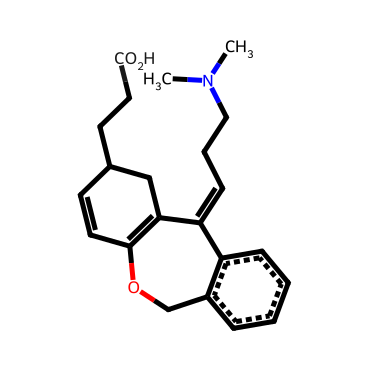 CN(C)CC/C=C1\C2=C(C=CC(CCC(=O)O)C2)OCc2ccccc21